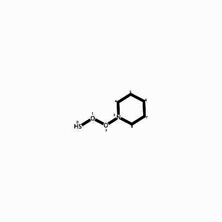 SOON1CCCCC1